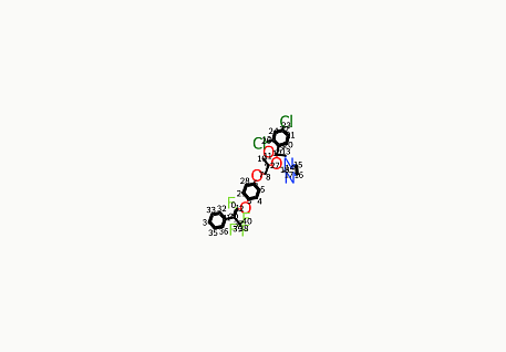 FC(Oc1ccc(OCC2COC(Cn3ccnc3)(c3ccc(Cl)cc3Cl)O2)cc1)=C(c1ccccc1)C(F)(F)F